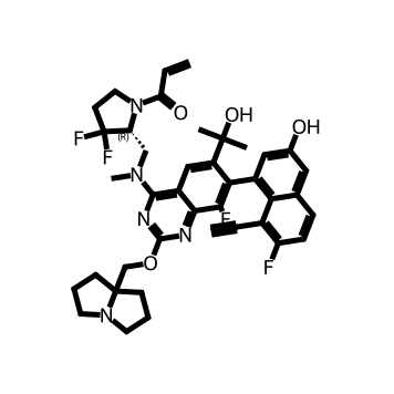 C#Cc1c(F)ccc2cc(O)cc(-c3c(C(C)(C)O)cc4c(N(C)C[C@H]5N(C(=O)C=C)CCC5(F)F)nc(OCC56CCCN5CCC6)nc4c3F)c12